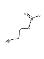 [NH]CCO[N+](=O)[O-]